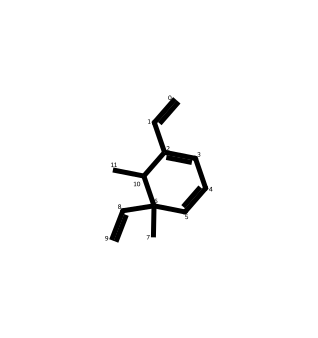 C=CC1=CC=CC(C)(C=C)C1C